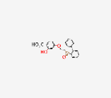 O=C(O)c1ccc(OCC[S+]([O-])c2ccccc2-c2ccccc2)cc1O